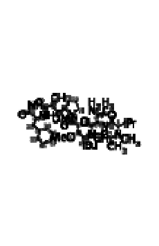 C=C(C)N(C)C(C(=O)N[C@H](C(=O)N(C)[C@@H]([C@@H](C)CC)[C@@H](CC(=O)N1CCC[C@H]1[C@H](OC)[C@@H](C)C(=O)N[C@@H](Cc1ccccc1)C(N)=O)OC)[C@H](C)N)C(C)C